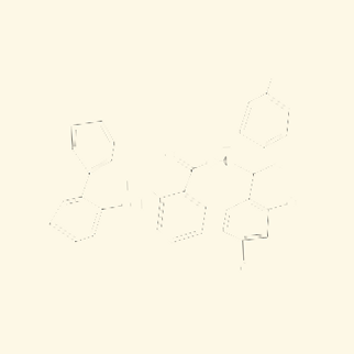 Cc1ccc(C(C)C)c(O)c1.O=C(O)c1ccccc1O.Oc1ccccc1.Oc1ccccc1-c1ccccc1